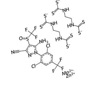 N#Cc1nn(-c2c(Cl)cc(C(F)(F)F)cc2Cl)c(N)c1S(=O)C(F)(F)F.S=C([S-])NCCNC(=S)[S-].S=C([S-])NCCNC(=S)[S-].[Mn+2].[Zn+2]